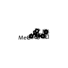 COc1ccc(C2=NC3(CCCCC3)N(CC(=O)c3ccc(Cl)c(-c4ccccn4)c3)C2=O)cc1